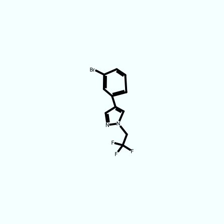 FC(F)(F)Cn1cc(-c2cccc(Br)c2)cn1